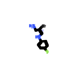 CC(C)/C(=C/Nc1ccc(F)cc1)CN